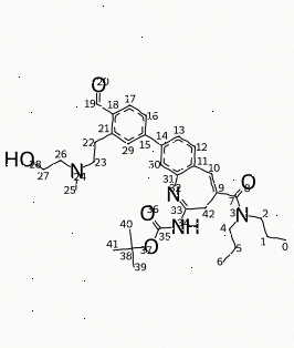 CCCN(CCC)C(=O)C1=Cc2ccc(-c3ccc(C=O)c(CCN(C)CCO)c3)cc2N=C(NC(=O)OC(C)(C)C)C1